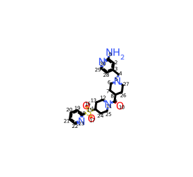 Nc1cc(CN2CCC(C(=O)N3CCC(S(=O)(=O)c4ccccn4)CC3)CC2)ccn1